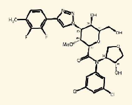 CO[C@@H]1[C@@H](n2cc(-c3ccc(C)c(F)c3F)nn2)[C@@H](O)[C@@H](CO)O[C@H]1C(=O)N(c1cc(Cl)cc(Cl)c1)[C@H]1COC[C@@H]1O